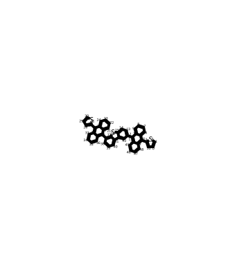 c1csc(-c2c3ccccc3c(-c3ccc4sc5c(-c6c7ccccc7c(-c7cccs7)c7ccccc67)cccc5c4c3)c3ccccc23)c1